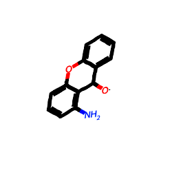 Nc1cccc2c1C([O])c1ccccc1O2